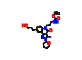 Cc1c2c(=O)n(CCCNC(=O)OC(C)(C)C)c3ccc(CCCO)cc3c2nn1C1CCCCO1